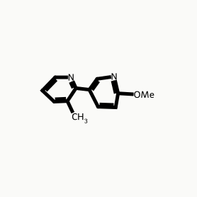 COc1ccc(-c2ncccc2C)cn1